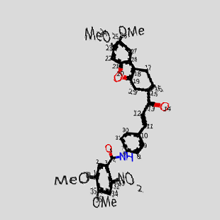 COc1cc(C(=O)Nc2ccc(/C=C/C(=O)C3CCc4c(oc5cc(OC)c(OC)cc45)C3)cc2)c([N+](=O)[O-])cc1OC